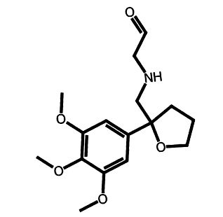 COc1cc(C2(CNCC=O)CCCO2)cc(OC)c1OC